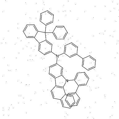 c1ccc(-c2cccc(N(c3ccc4c(c3)C(c3ccccc3)(c3ccccc3)c3ccccc3-4)c3ccc4c5ccc6ccccc6c5n(-c5ccccc5-c5ccccc5)c4c3)c2)cc1